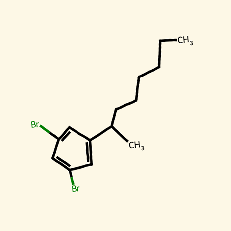 CCCCCCC(C)c1cc(Br)cc(Br)c1